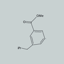 COC(=O)c1c[c]cc(CC(C)C)c1